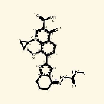 CNC(=S)N/N=C1/CCCc2sc(-c3ccc4c(=O)c(C(=O)O)cn(C5CC5)c4c3OC)cc21